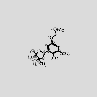 COCOc1cc(C)c(C)c(B2OC(C)(C)C(C)(C)O2)c1